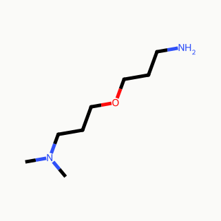 CN(C)CCCOCCCN